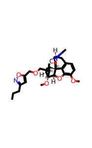 CCCc1cc(COC[C@H]2CC[C@H]3Cc4ccc(OC)c5c4[C@@]4(CCC[C@]2(OC)[C@@H]4O5)CCN3C)on1